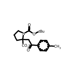 Cc1ccc(C(=O)CC2(C(=O)O)CCCN2C(=O)OC(C)(C)C)cc1